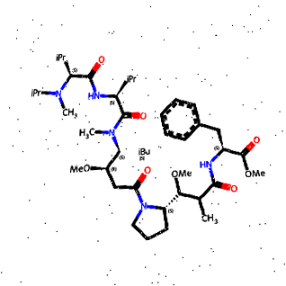 CC[C@H](C)[C@@H]([C@@H](CC(=O)N1CCC[C@H]1C(OC)C(C)C(=O)N[C@@H](Cc1ccccc1)C(=O)OC)OC)N(C)C(=O)[C@@H](NC(=O)[C@H](C(C)C)N(C)C(C)C)C(C)C